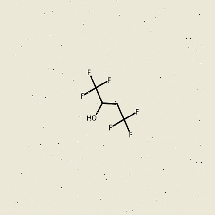 O[C](CC(F)(F)F)C(F)(F)F